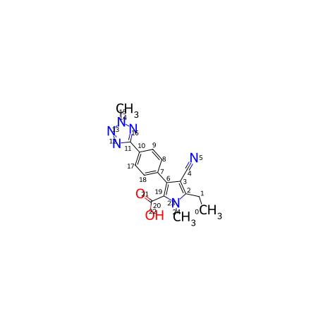 CCc1c(C#N)c(-c2ccc(-c3nnn(C)n3)cc2)c(C(=O)O)n1C